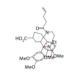 C=CCCC(=O)N1CCc2cc(OC)c(OC)cc2C12CCC(C(=O)O)CC2C1c2cc(OC)c(OC)cc2CCN1CC